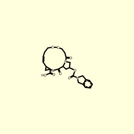 O=C1NC2(C(=O)O)CC2/C=C\CCCCCCC(=O)N2CC(OC(=O)N3Cc4ccccc4C3)CC12